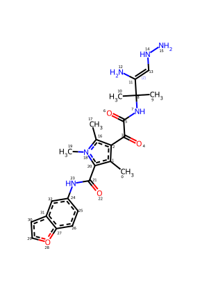 Cc1c(C(=O)C(=O)NC(C)(C)/C(N)=C/NN)c(C)n(C)c1C(=O)Nc1ccc2occc2c1